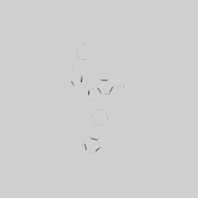 CCNc1cc2c(cn1)c(-c1cnn(C[C@H](O)CO)c1)nn2[C@H]1CC[C@@H](Oc2cccnc2C(F)(F)F)CC1